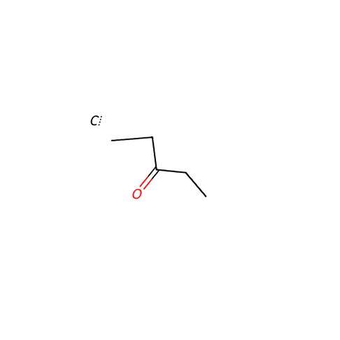 CCC(=O)CC.[C]